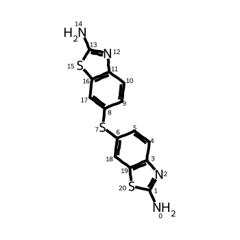 Nc1nc2ccc(Sc3ccc4nc(N)sc4c3)cc2s1